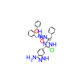 Nc1n[nH]c2cc(-c3nc([C@H](Cc4ccccc4)NC(=O)NCc4ccccc4Oc4ccccc4)[nH]c3Cl)ccc12